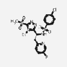 CCn1c([C@@H](Cc2ccc(F)cn2)NS(=O)(=O)c2ccc(Cl)cc2)nnc1S(C)(=O)=O